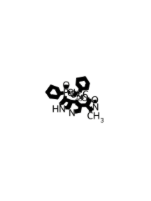 Cc1noc(C)c1-c1cnc2[nH]cc(P(C)(=O)c3ccccc3)c2c1S(=O)(=O)c1ccccc1